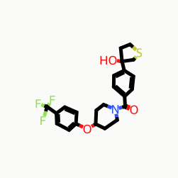 O=C(c1ccc(C2(O)CCSC2)cc1)N1CCC(Oc2ccc(C(F)(F)F)cc2)CC1